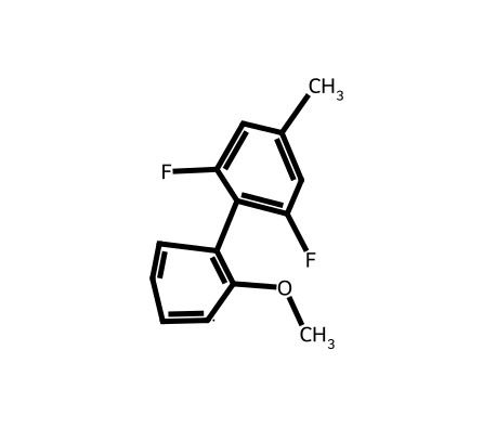 COc1[c]cccc1-c1c(F)cc(C)cc1F